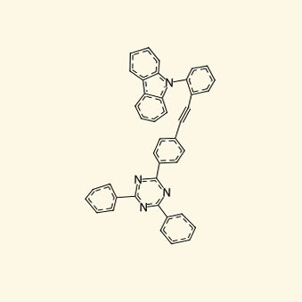 C(#Cc1ccccc1-n1c2ccccc2c2ccccc21)c1ccc(-c2nc(-c3ccccc3)nc(-c3ccccc3)n2)cc1